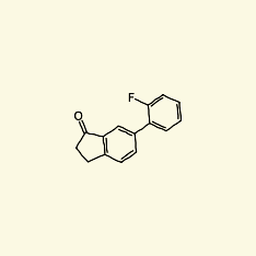 O=C1CCc2ccc(-c3ccccc3F)cc21